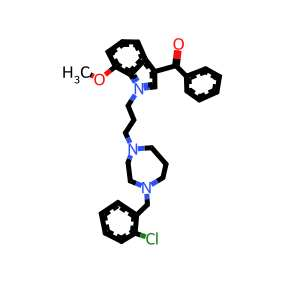 COc1cccc2c(C(=O)c3ccccc3)cn(CCCN3CCCN(Cc4ccccc4Cl)CC3)c12